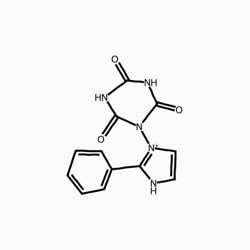 O=c1[nH]c(=O)n(-[n+]2cc[nH]c2-c2ccccc2)c(=O)[nH]1